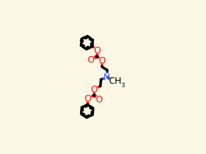 CN(CCOC(=O)Oc1ccccc1)CCOC(=O)Oc1ccccc1